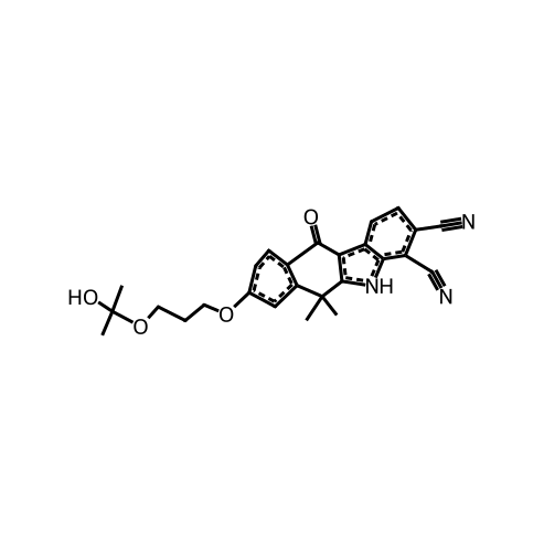 CC(C)(O)OCCCOc1ccc2c(c1)C(C)(C)c1[nH]c3c(C#N)c(C#N)ccc3c1C2=O